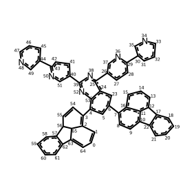 C1=CC2=C(c3cc(-c4ccc5c6c(cccc46)-c4ccccc4-5)cc4c(-c5ccc(-c6cccnc6)nc5)nc(-c5ccc(-c6cccnc6)nc5)nc34)C=CC3c4ccccc4C(=C1)C23